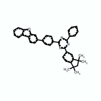 CC1(C)CC(C)(C)c2cc(-c3nc(-c4ccccc4)nc(-c4ccc(-c5ccc6c(c5)oc5ccccc56)cc4)n3)ccc21